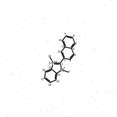 Cn1c(-c2ccc3ccccc3c2)[n+](C)c2ccccc21